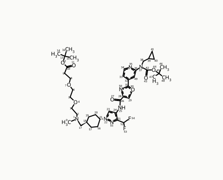 CN(CCOCCOCCC(=O)OC(C)(C)C)C[C@H]1CC[C@H](n2cc(NC(=O)c3coc(-c4ccnc(N(CC5CC5)C(=O)OC(C)(C)C)c4)n3)c(C(F)F)n2)CC1